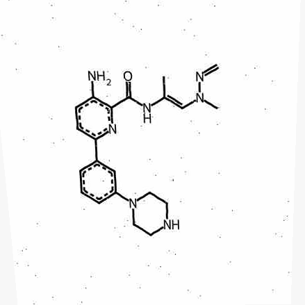 C=NN(C)/C=C(\C)NC(=O)c1nc(-c2cccc(N3CCNCC3)c2)ccc1N